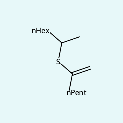 C=C(CCCCC)SC(C)CCCCCC